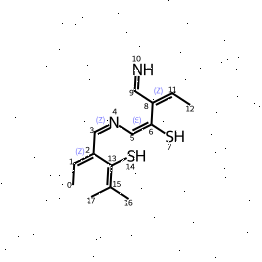 C/C=C(/C=N\C=C(S)/C(C=N)=C\C)C(S)=C(C)C